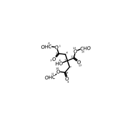 O=COC(=O)CC(O)(CC(=O)OC=O)C(=O)OC=O